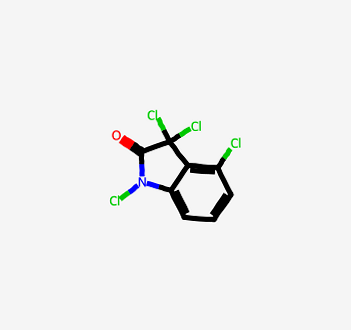 O=C1N(Cl)c2cccc(Cl)c2C1(Cl)Cl